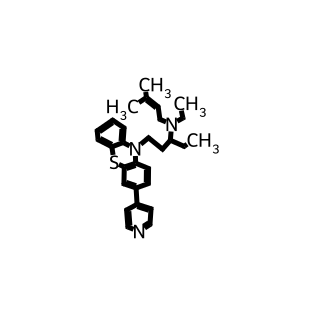 CCC(CCN1c2ccccc2Sc2cc(-c3ccncc3)ccc21)N(CC)CC=C(C)C